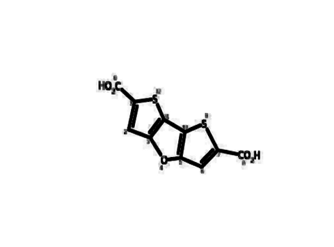 O=C(O)c1cc2oc3cc(C(=O)O)sc3c2s1